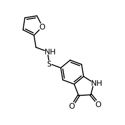 O=C1Nc2ccc(SNCc3ccco3)cc2C1=O